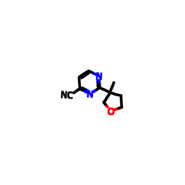 CC1(c2nccc(C#N)n2)CCOC1